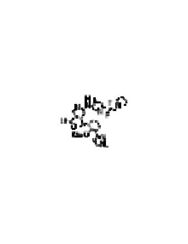 CCC(=O)c1cnc(Nc2cnc(C(F)(F)CN3CCCC3)cn2)cc1N(C)c1cccc(-c2ncn(C)n2)c1OC